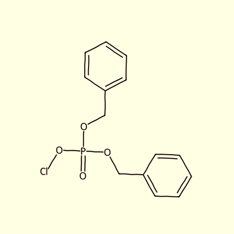 O=P(OCl)(OCc1ccccc1)OCc1ccccc1